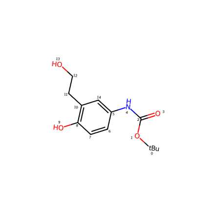 CC(C)(C)OC(=O)Nc1ccc(O)c(CCO)c1